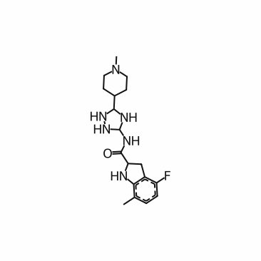 Cc1ccc(F)c2c1NC(C(=O)NC1NNC(C3CCN(C)CC3)N1)C2